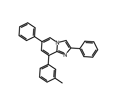 Cc1cccc(-c2cc(-c3ccccc3)cn3cc(-c4ccccc4)nc23)c1